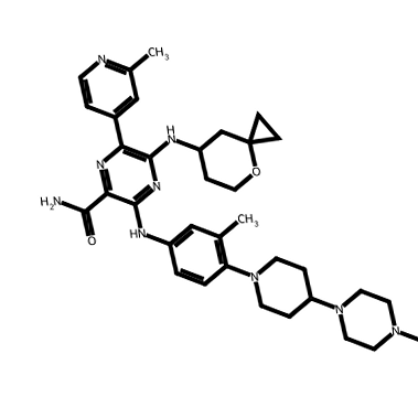 Cc1cc(-c2nc(C(N)=O)c(Nc3ccc(N4CCC(N5CCN(C)CC5)CC4)c(C)c3)nc2NC2CCOC3(CC3)C2)ccn1